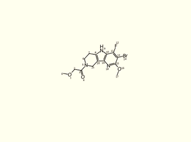 COCC(=O)N1CCc2[nH]c3c(F)c(Br)c(OC)nc3c2C1